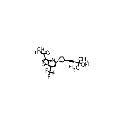 CNC(=O)c1csc2c(C(F)(F)F)cc(N3CCC(C#CC(C)(C)O)C3)nc12